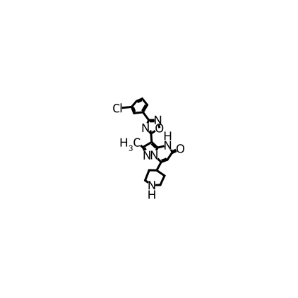 Cc1nn2c(C3CCNCC3)cc(=O)[nH]c2c1-c1nc(-c2cccc(Cl)c2)no1